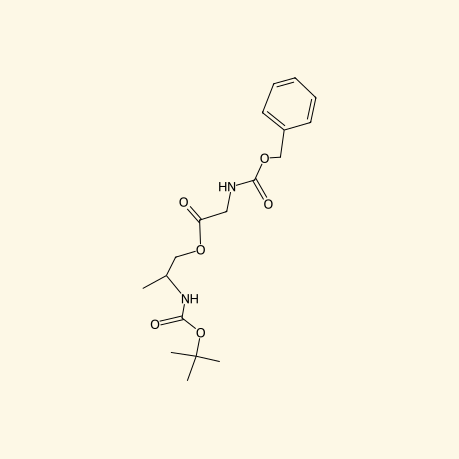 CC(COC(=O)CNC(=O)OCc1ccccc1)NC(=O)OC(C)(C)C